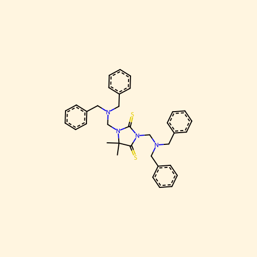 CC1(C)C(=S)N(CN(Cc2ccccc2)Cc2ccccc2)C(=S)N1CN(Cc1ccccc1)Cc1ccccc1